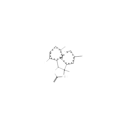 CC1(c2cncc(Br)c2)NC(=O)OC1c1cc(F)ccc1F